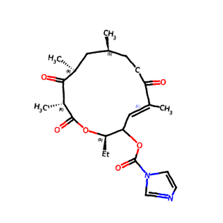 CC[C@H]1OC(=O)[C@H](C)C(=O)[C@H](C)C[C@@H](C)CCC(=O)/C(C)=C/C1OC(=O)n1ccnc1